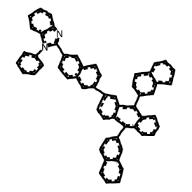 c1ccc(-n2c(-c3ccc4cc(-c5ccc6c(-c7ccc8ccccc8c7)c7ccccc7c(-c7ccc8ccccc8c7)c6c5)ccc4c3)nc3ccccc32)cc1